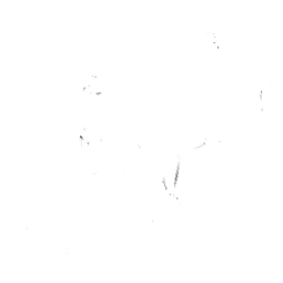 Cl.NC1(c2nc(-c3cccc(F)c3)no2)CCCCC1